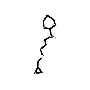 C1CCC([SiH2]CCCOCC2CO2)OC1